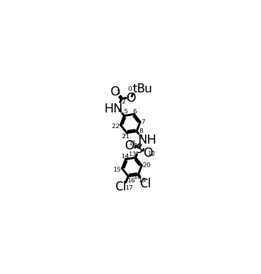 CC(C)(C)OC(=O)Nc1ccc(NS(=O)(=O)c2ccc(Cl)c(Cl)c2)cc1